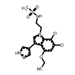 CS(=O)(=O)NCCn1cc(-c2cn[nH]c2)c2c(OCC#N)cc(Cl)c(Cl)c21